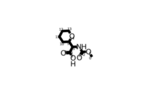 COC(=O)NC(C(=O)O)C1CCCCO1